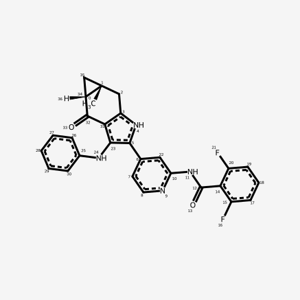 C[C@@]12Cc3[nH]c(-c4ccnc(NC(=O)c5c(F)cccc5F)c4)c(Nc4ccccc4)c3C(=O)[C@@H]1C2